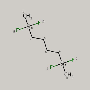 C[Si](F)(F)CCCC[Si](C)(F)F